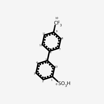 O=S(=O)(O)c1cccc(-c2ccc(C(F)(F)F)cc2)c1